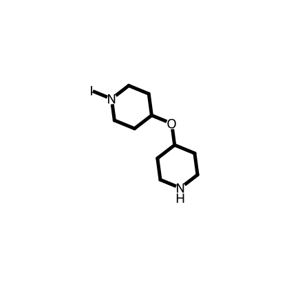 IN1CCC(OC2CCNCC2)CC1